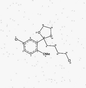 COc1ccc(Cl)cc1C1(CCCCCl)OCCO1